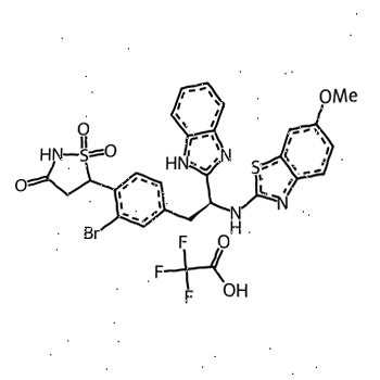 COc1ccc2nc(N[C@@H](Cc3ccc(C4CC(=O)NS4(=O)=O)c(Br)c3)c3nc4ccccc4[nH]3)sc2c1.O=C(O)C(F)(F)F